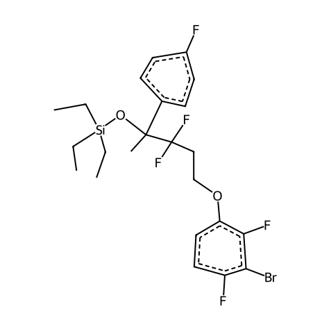 CC[Si](CC)(CC)OC(C)(c1ccc(F)cc1)C(F)(F)CCOc1ccc(F)c(Br)c1F